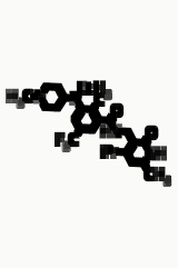 CCN(c1cc(C(F)(F)F)cc(C(=O)NCc2c(C(C)C)cc(C)[nH]c2=O)c1C)C1CCN(C)CC1